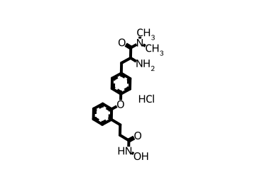 CN(C)C(=O)C(N)Cc1ccc(Oc2ccccc2CCC(=O)NO)cc1.Cl